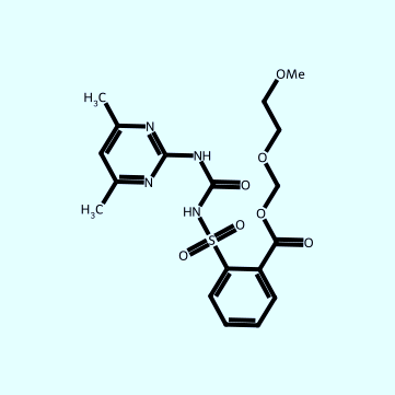 COCCOCOC(=O)c1ccccc1S(=O)(=O)NC(=O)Nc1nc(C)cc(C)n1